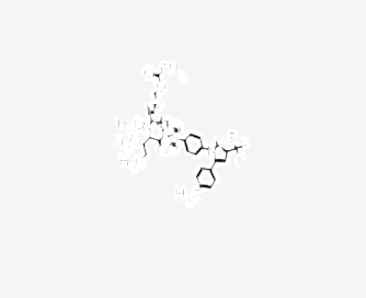 CC[C@@H](C)[C@@H](C(=O)NS(=O)(=O)c1ccc(-n2nc(C(F)(F)F)cc2-c2ccc(C)cc2)cc1)N(C)/[N+]([O-])=N/OCOC(C)=O